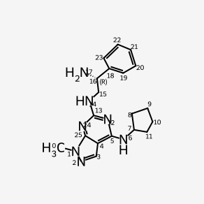 Cn1ncc2c(NC3CCCC3)nc(NC[C@H](N)c3ccccc3)nc21